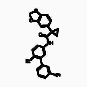 CCc1ccc(NC(=O)C2(c3ccc4c(c3)OCO4)CC2)cc1-c1cccc(C(C)C)c1